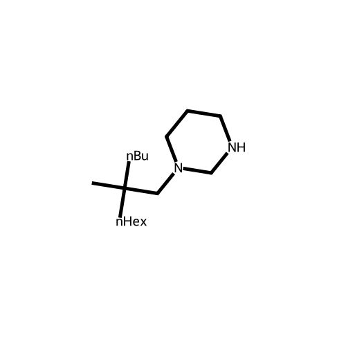 CCCCCCC(C)(CCCC)CN1CCCNC1